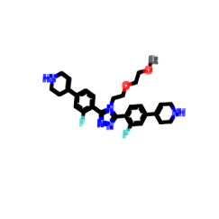 CCOCCOCCn1c(-c2ccc(C3=CCNCC3)cc2F)nnc1-c1ccc(C2=CCNCC2)cc1F